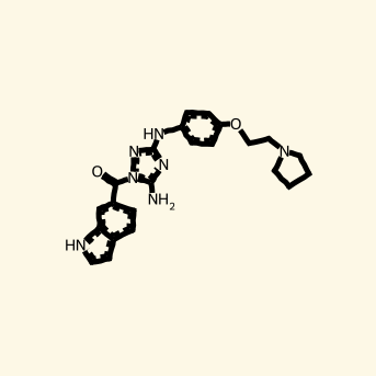 Nc1nc(Nc2ccc(OCCN3CCCC3)cc2)nn1C(=O)c1ccc2cc[nH]c2c1